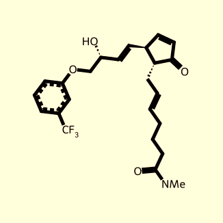 CNC(=O)CCCC=CC[C@H]1C(=O)C=C[C@@H]1C=C[C@@H](O)COc1cccc(C(F)(F)F)c1